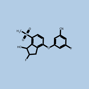 CS(=O)(=O)c1ccc(Oc2cc(F)cc(C#N)c2)c2c1C(O)C(F)C2